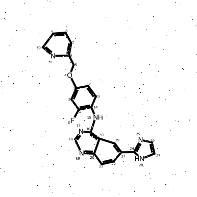 Fc1cc(OCc2ccccn2)ccc1Nc1ncnc2ccc(-c3ncc[nH]3)cc12